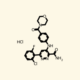 Cl.NC(=O)c1nnc(-c2c(F)cccc2Cl)cc1Nc1ccc(C(=O)N2CCOCC2)cc1